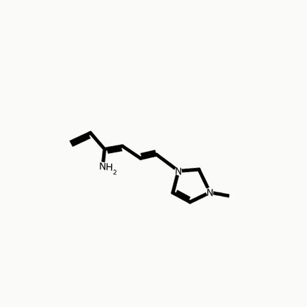 C=C/C(N)=C/C=C/N1C=CN(C)C1